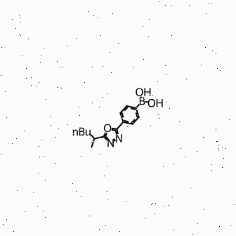 CCCCC(C)c1nnc(-c2ccc(B(O)O)cc2)o1